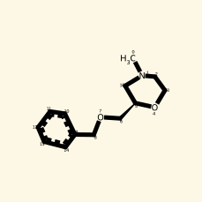 CN1CCO[C@@H](COCc2ccccc2)C1